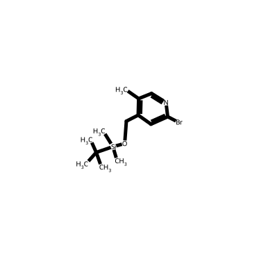 Cc1cnc(Br)cc1CO[Si](C)(C)C(C)(C)C